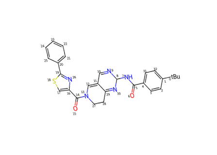 CC(C)(C)c1ccc(C(=O)NC2N=CC3=CN(C(=O)c4csc(-c5ccccc5)n4)CCC3=N2)cc1